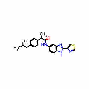 CC(C)Cc1ccc(C(C)C(=O)Nc2ccc3[nH]c(-c4cscn4)nc3c2)cc1